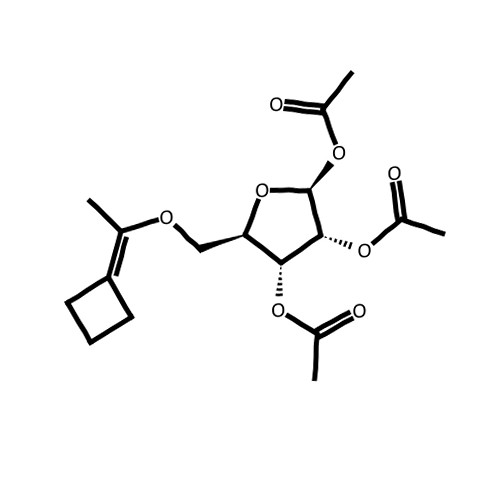 CC(=O)O[C@@H]1O[C@H](COC(C)=C2CCC2)[C@@H](OC(C)=O)[C@H]1OC(C)=O